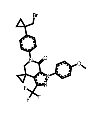 COc1ccc(-n2nc(C(F)(F)F)c3c2C(=O)N(c2ccc(C4(CBr)CC4)cc2)CC32CC2)cc1